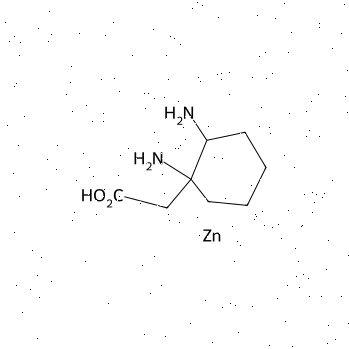 NC1CCCCC1(N)CC(=O)O.[Zn]